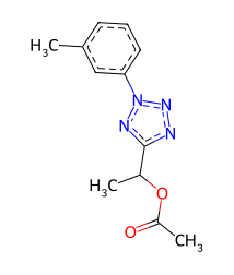 CC(=O)OC(C)c1nnn(-c2cccc(C)c2)n1